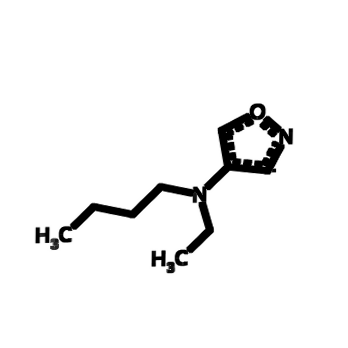 CCCCN(CC)c1[c]noc1